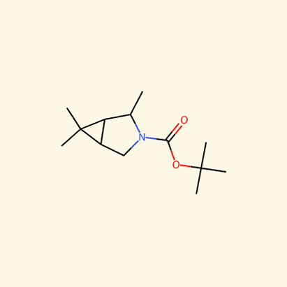 CC1C2C(CN1C(=O)OC(C)(C)C)C2(C)C